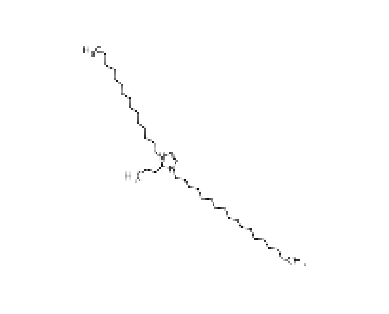 CCCCCCCCCCCCCCCCCCN1C=CN(CCCCCCCCCCCCCCC)C1CCC